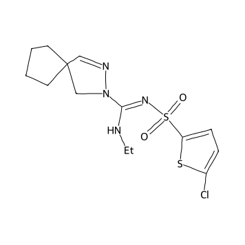 CCN/C(=N\S(=O)(=O)c1ccc(Cl)s1)N1CC2(C=N1)CCCC2